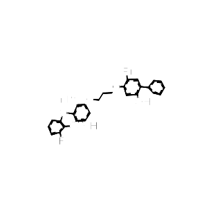 CCCc1c(OCCCOc2cc(O)c(-c3ccccc3)cc2CC)cccc1Oc1cccc(F)c1C(=O)O